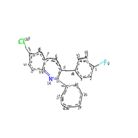 Fc1ccc(-c2cc3cc(Cl)ccc3nc2-c2ccccc2)cc1